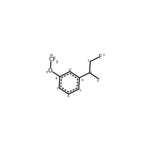 C[C](CF)c1cccc(OC(F)(F)F)c1